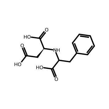 O=C(O)C[C@H](NC(Cc1ccccc1)C(=O)O)C(=O)O